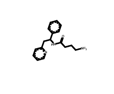 NCCCC(=O)NC(Cc1ccccn1)c1ccccc1